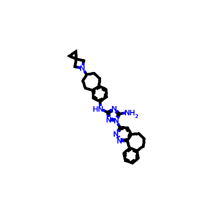 Nc1nc(Nc2ccc3c(c2)CCC(N2CC4(CC4)C2)CC3)nn1-c1cc2c(nn1)-c1ccccc1CCC2